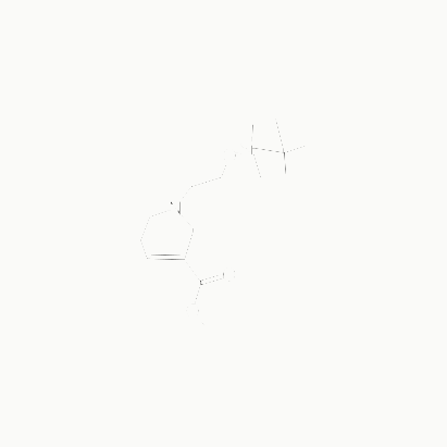 COC(=O)C1=CCCN(CCO[Si](C)(C)C(C)(C)C)C1